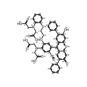 [C-]#[N+]c1cc(N(CC(=O)O)CC(=O)O)c(OCCOc2ccccc2N(CC(=O)O)CC(=O)O)cc1-c1c2cc(-c3ccccc3)c(=O)cc-2oc2cc(O)c(-c3ccccc3)cc12